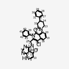 C[C@H](Nc1ncnc2[nH]ccc(=O)c12)c1c(Cl)c2cccc(N3CCC(c4ccccc4)CC3)c2c(=O)n1-c1ccccc1